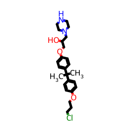 CC(C)(c1ccc(OCCCCl)cc1)c1ccc(OCC(O)CN2CCNCC2)cc1